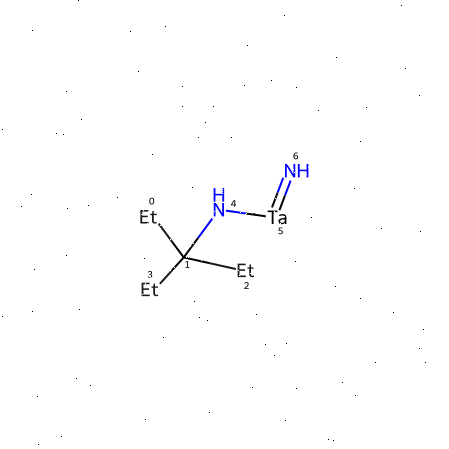 CCC(CC)(CC)[NH][Ta]=[NH]